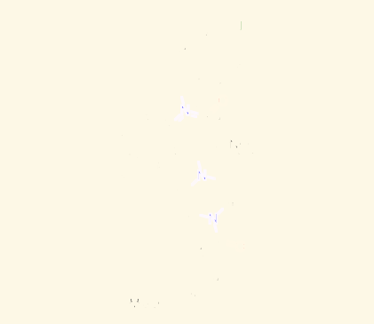 COc1ccc(C(=O)N2CCN(c3c([N+](=O)[O-])c(=O)n(Cc4ccc(F)cc4)c4ccc(C)cc34)CC2)cc1